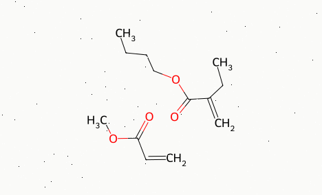 C=C(CC)C(=O)OCCCC.C=CC(=O)OC